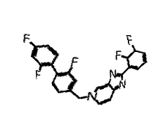 Fc1ccc(-c2ccc(Cn3ccc4nc(C5=CC=CC(F)C5F)nc-4c3)cc2F)c(F)c1